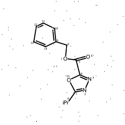 CC(C)c1nnc(C(=O)OCc2ccccc2)o1